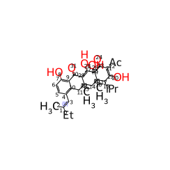 CC/C(C)=C/c1ccc(O)c2c1C[C@]1(C)C[C@]3(C)C(C(C)C)C(O)=C(C(C)=O)C(=O)[C@]3(O)C(O)=C1C2=O